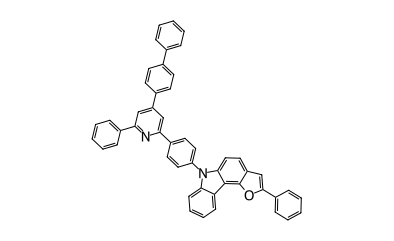 c1ccc(-c2ccc(-c3cc(-c4ccccc4)nc(-c4ccc(-n5c6ccccc6c6c7oc(-c8ccccc8)cc7ccc65)cc4)c3)cc2)cc1